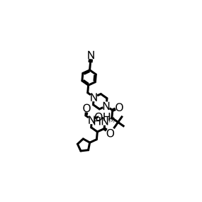 CC(C)(C)[C@H](NC(=O)C(CC1CCCC1)CN(O)C=O)C(=O)N1CCN(Cc2ccc(C#N)cc2)CC1